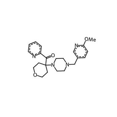 COc1ccc(CN2CCN(C3(C(=O)c4ccccn4)CCOCC3)CC2)cn1